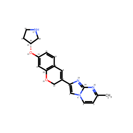 Cc1ccn2cc(C3=Cc4ccc(O[C@@H]5CCNC5)cc4OC3)nc2n1